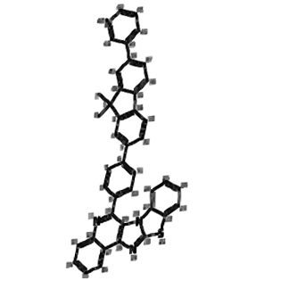 CC1(C)c2cc(-c3ccc(-c4nc5ccccc5c5nc6sc7ccccc7n6c45)cc3)ccc2-c2ccc(-c3cccnc3)cc21